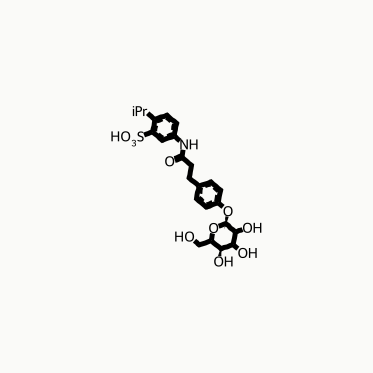 CC(C)c1ccc(NC(=O)CCc2ccc(O[C@@H]3OC(CO)[C@H](O)C(O)C3O)cc2)cc1S(=O)(=O)O